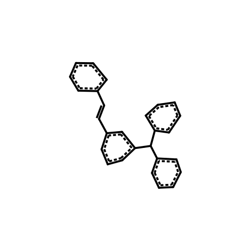 C(=Cc1cccc(C(c2ccccc2)c2ccccc2)c1)c1ccccc1